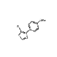 COc1ccc(-c2ncoc2Cl)cc1